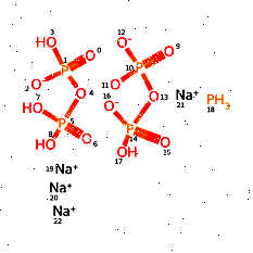 O=P([O-])(O)OP(=O)(O)O.O=P([O-])([O-])OP(=O)([O-])O.P.[Na+].[Na+].[Na+].[Na+]